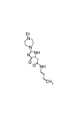 C=C/C=C/NC(=O)CC1NC(N2CCN(CC)CC2)=NC1=O